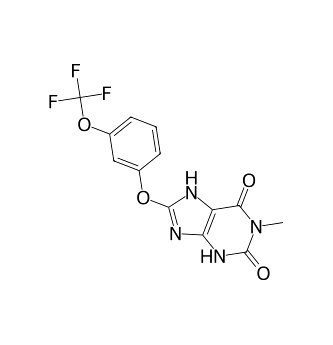 Cn1c(=O)[nH]c2nc(Oc3cccc(OC(F)(F)F)c3)[nH]c2c1=O